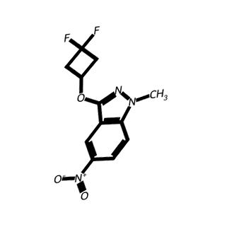 Cn1nc(OC2CC(F)(F)C2)c2cc([N+](=O)[O-])ccc21